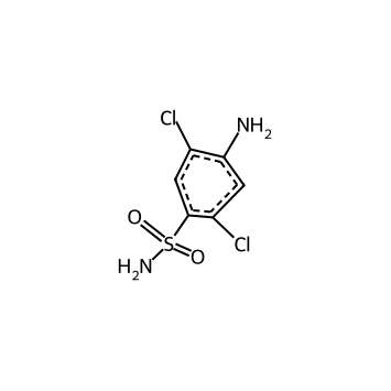 Nc1cc(Cl)c(S(N)(=O)=O)cc1Cl